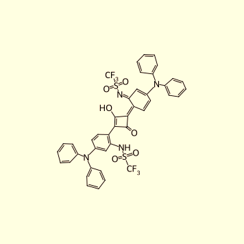 O=C1C(c2ccc(N(c3ccccc3)c3ccccc3)cc2NS(=O)(=O)C(F)(F)F)=C(O)/C1=C1/C=CC(N(c2ccccc2)c2ccccc2)=C/C1=N\S(=O)(=O)C(F)(F)F